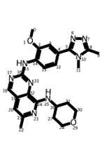 COc1cc(-c2nnc(C)n2C)ccc1Nc1ncc2cc(C)nc(NC3CCOCC3)c2n1